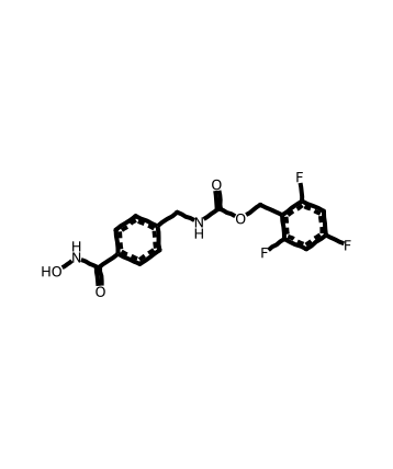 O=C(NCc1ccc(C(=O)NO)cc1)OCc1c(F)cc(F)cc1F